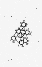 c1ccc(N2C3=C(B4c5ccccc5N(c5ccccc5)c5cccc2c54)c2cccc4cccc3c24)cc1